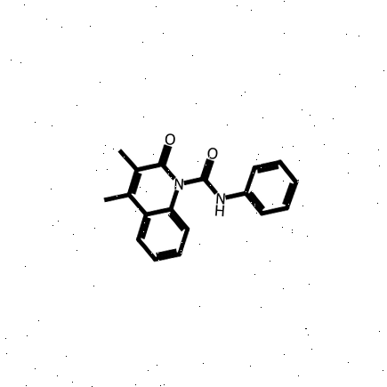 Cc1c(C)c2ccccc2n(C(=O)Nc2ccccc2)c1=O